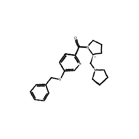 O=C(c1ccc(SCc2ccccc2)cn1)N1CCC[C@H]1CN1CCCC1